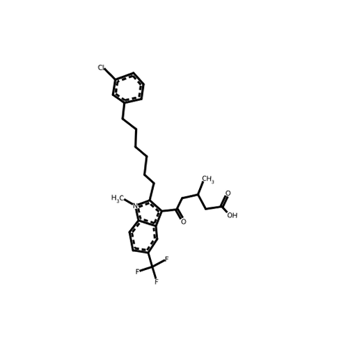 CC(CC(=O)O)CC(=O)c1c(CCCCCCc2cccc(Cl)c2)n(C)c2ccc(C(F)(F)F)cc12